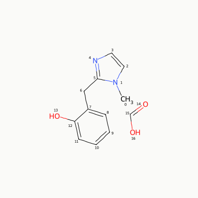 Cn1ccnc1Cc1ccccc1O.O=CO